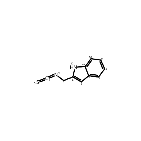 S=C=NCc1cc2ccccc2[nH]1